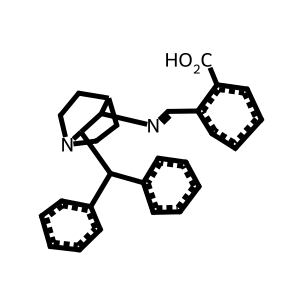 O=C(O)c1ccccc1C=NC1C2CCN(CC2)C1C(c1ccccc1)c1ccccc1